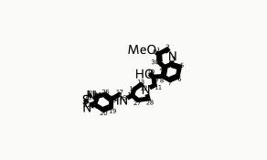 COc1cnc2cccc(C(O)CN3CCC(NCc4ccc5nsnc5c4)CC3)c2c1